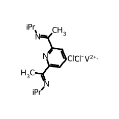 CC(=NC(C)C)c1cccc(C(C)=NC(C)C)n1.[Cl-].[Cl-].[V+2]